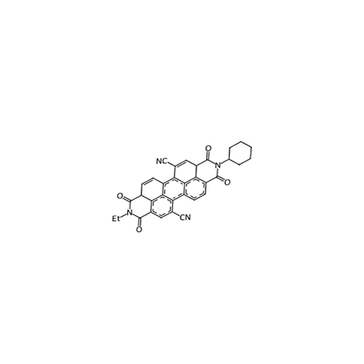 CCN1C(=O)c2cc(C#N)c3c4c(c5c6c7c(ccc63)C(=O)N(C3CCCCC3)C(=O)C7C=C5C#N)C=CC(C1=O)c24